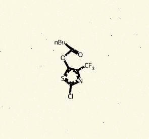 CCCCC(=O)Oc1sc(Cl)nc1C(F)(F)F